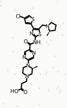 C[C@@H]1CCCN1Cc1sc(NC(=O)c2cnc(N3CCN(CCC(=O)O)C[C@@H]3C)cn2)nc1-c1cc(Cl)cs1